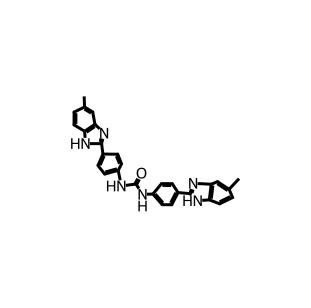 Cc1ccc2[nH]c(-c3ccc(NC(=O)Nc4ccc(-c5nc6cc(C)ccc6[nH]5)cc4)cc3)nc2c1